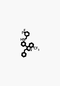 FC1(F)C=CC=C(CNc2cccc(-c3c(Cc4ccccc4)cnc4c(C(F)(F)F)cccc34)c2)C1